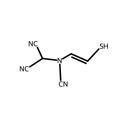 N#CC(C#N)N(C#N)C=CS